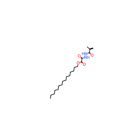 C=C(C)C(=O)NNC(=O)C(=O)OCCCCCCCCCCCCCCC